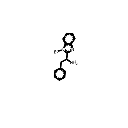 CCn1c(C(N)Cc2ccccc2)nc2ccccc21